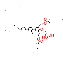 C=C(C)C(=O)OCCCc1cc(-c2ccc(C3=CC=C(CCCCC)CC3)cc2CC)cc(CCCOC(=O)C(=C)C)c1OCCC(CO)CO